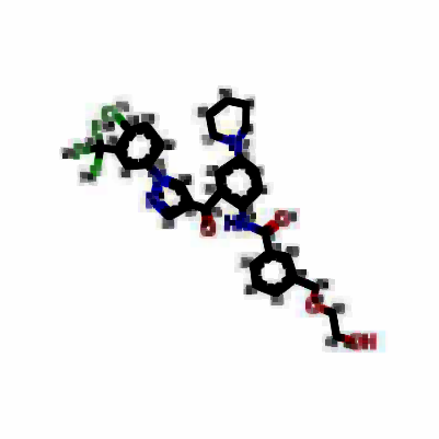 O=C(Nc1ccc(N2CCCCC2)cc1C(=O)c1cnn(-c2ccc(Cl)c(C(F)(F)F)c2)c1)c1cccc(COCCO)c1